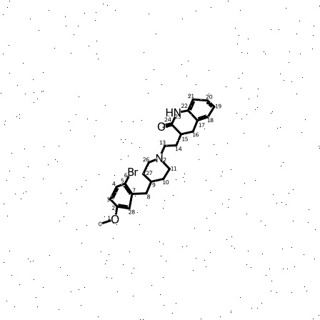 COc1ccc(Br)c(CC2CCN(CCC3Cc4ccccc4NC3=O)CC2)c1